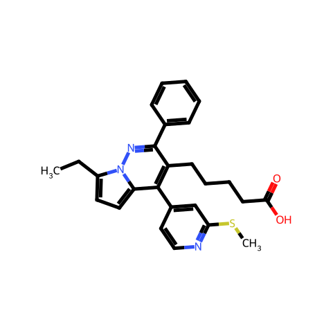 CCc1ccc2c(-c3ccnc(SC)c3)c(CCCCC(=O)O)c(-c3ccccc3)nn12